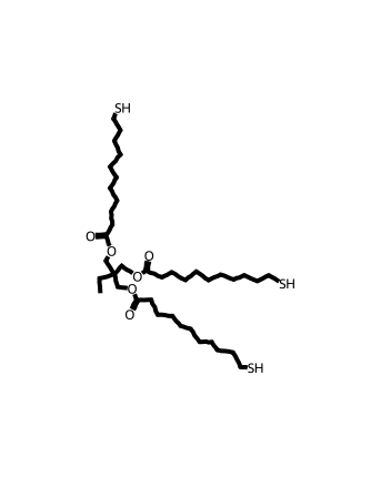 CCC(COC(=O)CCCCCCCCCCS)(COC(=O)CCCCCCCCCCS)COC(=O)CCCCCCCCCCS